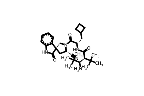 CC(C)(C)[C](N)[C@@H](C(=O)N[C@@H](CC1CCC1)C(=O)N1C[C@]2(C[C@H]1C#N)C(=O)Nc1ccccc12)C(C)(C)C